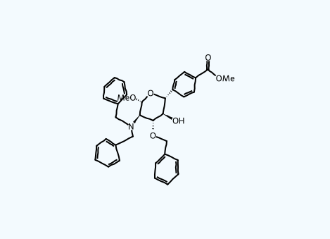 COC(=O)c1ccc([C@H]2O[C@@H](OC)[C@H](N(Cc3ccccc3)Cc3ccccc3)[C@@H](OCc3ccccc3)[C@@H]2O)cc1